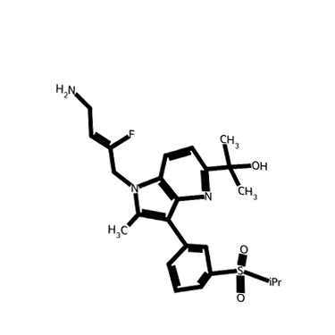 Cc1c(-c2cccc(S(=O)(=O)C(C)C)c2)c2nc(C(C)(C)O)ccc2n1C/C(F)=C/CN